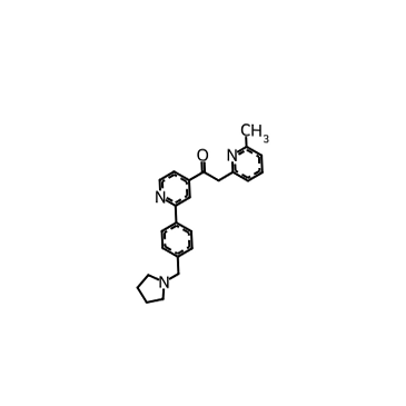 Cc1cccc(CC(=O)c2ccnc(-c3ccc(CN4CCCC4)cc3)c2)n1